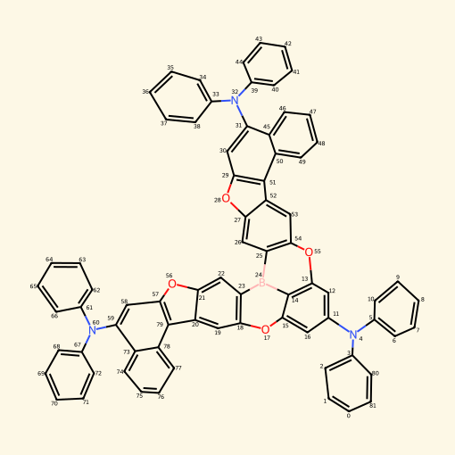 c1ccc(N(c2ccccc2)c2cc3c4c(c2)Oc2cc5c(cc2B4c2cc4oc6cc(N(c7ccccc7)c7ccccc7)c7ccccc7c6c4cc2O3)oc2cc(N(c3ccccc3)c3ccccc3)c3ccccc3c25)cc1